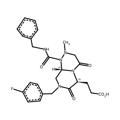 CN1CC(=O)N2[C@@H](CCC(=O)O)C(=O)N(Cc3ccc(F)cc3)C[C@@H]2N1C(=O)NCc1ccccc1